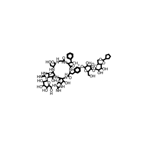 CC(c1ccccc1)C1NC(=O)CNC(=O)C(CO)NC(=O)C(C(O)C2CNC(=N)N2C2OC(CO)C(O)C(O)C2O)NC(=O)C(C(O)C2CNC(=N)N2)NC(=O)C(Cc2ccc(OC3OC(CO)C(OC4OC5COC(C6CCCC6)OC5C(O)C4O)C(O)C3O)cc2)NC1=O